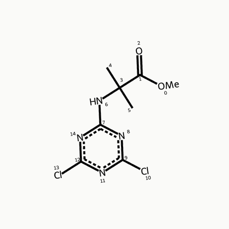 COC(=O)C(C)(C)Nc1nc(Cl)nc(Cl)n1